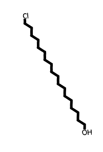 OCCCCCCCCCCCCCCCCCCCl